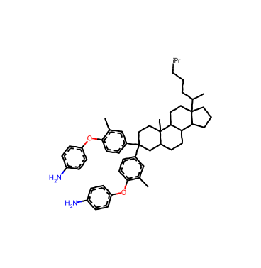 Cc1cc(C2(c3ccc(Oc4ccc(N)cc4)c(C)c3)CCC3(C)C(CCC4C3CCC3(C(C)CCCC(C)C)CCCC43)C2)ccc1Oc1ccc(N)cc1